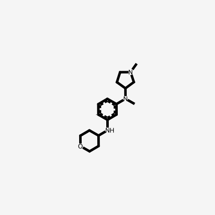 CN1CCC(N(C)c2cc[c]c(NC3CCOCC3)c2)C1